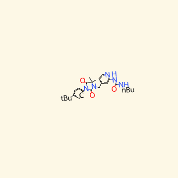 CCCCNC(=O)Nc1cc(CN2C(=O)N(c3ccc(C(C)(C)C)cc3)C(=O)C2(C)C)ccn1